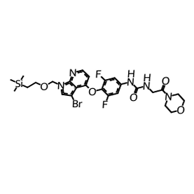 C[Si](C)(C)CCOCn1cc(Br)c2c(Oc3c(F)cc(NC(=O)NCC(=O)N4CCOCC4)cc3F)ccnc21